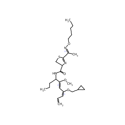 C=C/C=C(\C=C(/OC)C(CCC)NC(=O)C1CSC(/C(C)=N/OCCCCC)=N1)OCC1CC1